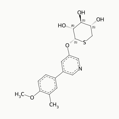 COc1ccc(-c2cncc(O[C@H]3SC[C@@H](O)[C@H](O)[C@H]3O)c2)cc1C